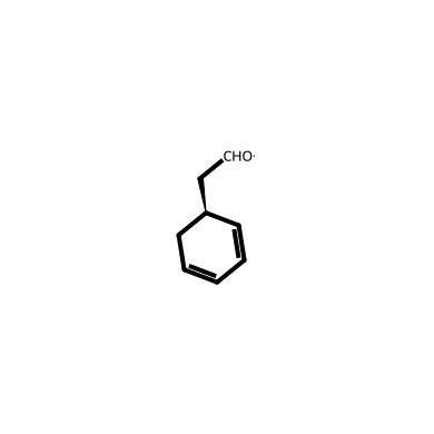 O=[C]C[C@H]1C=CC=CC1